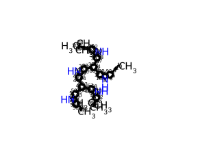 CCC#Cc1ccc2[nH]c3ccc(-c4cc(-c5ccc6[nH]c7ccc(C#CC(C)(C)C)cc7c6c5)cc(-c5ccc6[nH]c7ccc(-c8cc(C9=CC=C%10Nc%11ccc(CC)cc%11C%10C9)cc(-c9ccc%10[nH]c%11ccc(C(C)(C)C)cc%11c%10c9)c8)cc7c6c5)c4)cc3c2c1